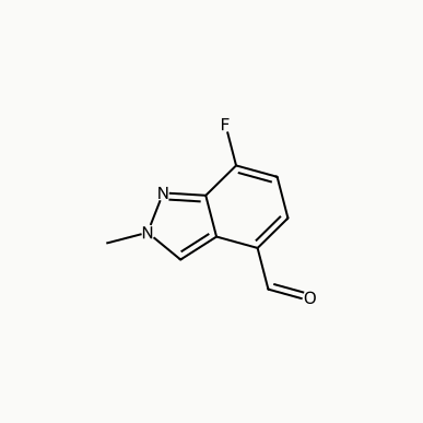 Cn1cc2c(C=O)ccc(F)c2n1